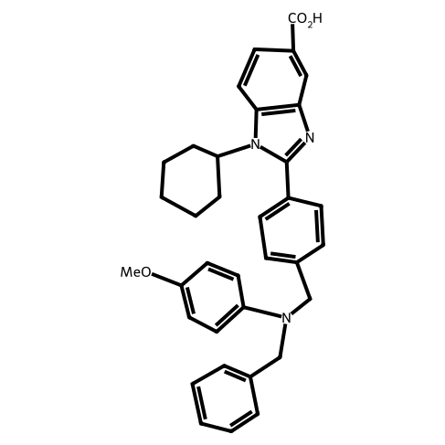 COc1ccc(N(Cc2ccccc2)Cc2ccc(-c3nc4cc(C(=O)O)ccc4n3C3CCCCC3)cc2)cc1